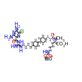 CN(C(=O)CCc1ccc(-c2ccc(CCCCNC(=N)NC(=O)c3nc(Cl)c(N)nc3N)cc2)cc1)[C@@H](CCCCNC(=O)OC(C)(C)C)C(=O)O